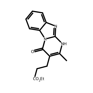 CCOC(=O)CCc1c(C)[nH]c2nc3ccccc3n2c1=O